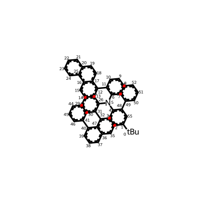 CC(C)(C)c1ccc(N(c2ccccc2-c2cccc3c2ccc2ccccc23)c2ccccc2-c2cccc3cccc(-c4ccccc4)c23)c(-c2ccccc2)c1